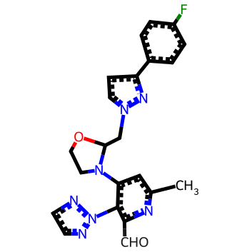 Cc1cc(N2CCOC2Cn2ccc(-c3ccc(F)cc3)n2)c(-n2nccn2)c(C=O)n1